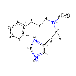 O=CN(CCCc1ccccc1)[C@@H]1C[C@H]1c1c[nH]cn1